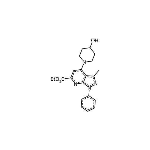 CCOC(=O)c1cc(N2CCC(O)CC2)c2c(C)nn(-c3ccccc3)c2n1